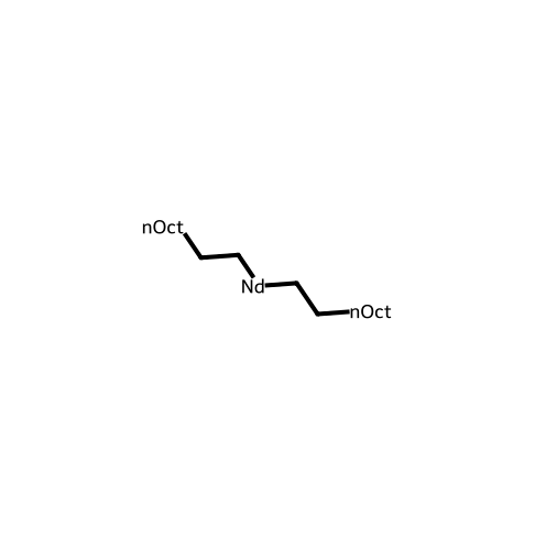 CCCCCCCCC[CH2][Nd][CH2]CCCCCCCCC